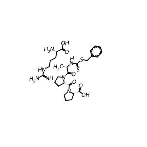 C[C@H](NC(=S)SCc1ccccc1)C(=O)N1CCC[C@H]1C(=O)N1CCC[C@H]1C(=O)O.N=C(N)NCCC[C@H](N)C(=O)O